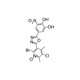 Cc1c(Cl)c(C)[n+]([O-])c(Br)c1-c1nnc(-c2cc(O)c(O)c([N+](=O)[O-])c2)o1